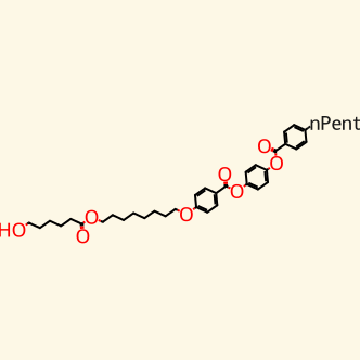 CCCCCc1ccc(C(=O)Oc2ccc(OC(=O)c3ccc(OCCCCCCCCOC(=O)CCCCCO)cc3)cc2)cc1